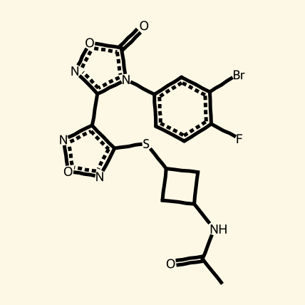 CC(=O)NC1CC(Sc2nonc2-c2noc(=O)n2-c2ccc(F)c(Br)c2)C1